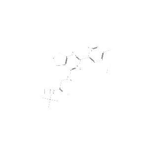 COc1cc(-c2nc3c(c(N(C)CC(=O)NC(C)(C)C)n2)CCC3)ncc1C